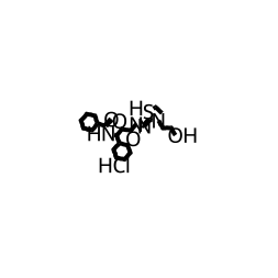 Cl.O=C(NN=C1SCCN1CCO)C(=O)C(NC(=O)C1CCCCC1)C1CCCCC1